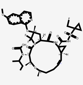 CCC(C)N(C(=O)O)[C@@H]1C(=O)N2[C@@H](C[C@@](C)(Oc3nccc4cc(OC)ccc34)C2(F)F)C(=O)N[C@]2(C(=O)NS(=O)(=O)C3(CF)CC3)C[C@H]2/C=C\CC[C@@H](C)O[C@H]1C